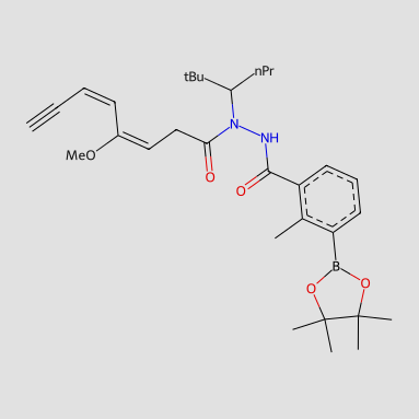 C#C/C=C\C(=C/CC(=O)N(NC(=O)c1cccc(B2OC(C)(C)C(C)(C)O2)c1C)C(CCC)C(C)(C)C)OC